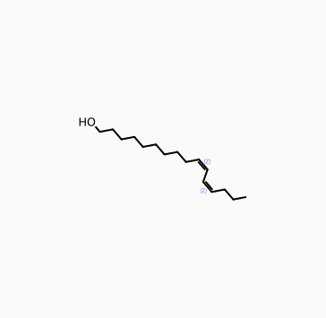 CCC/C=C\C=C/CCCCCCCCCO